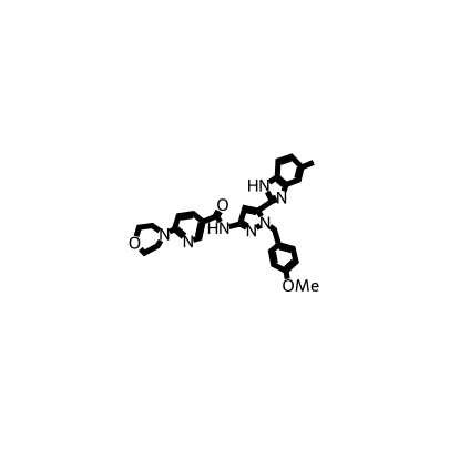 COc1ccc(Cn2nc(NC(=O)c3ccc(N4CCOCC4)nc3)cc2-c2nc3cc(C)ccc3[nH]2)cc1